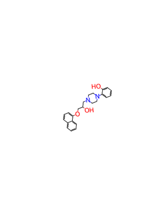 Oc1ccccc1N1CCN(CC(O)COc2cccc3ccccc23)CC1